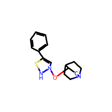 C1=C(c2ccccc2)SNN1OC1CN2CCC1CC2